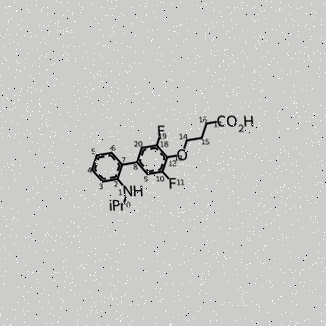 CC(C)Nc1ccccc1-c1cc(F)c(OCCCC(=O)O)c(F)c1